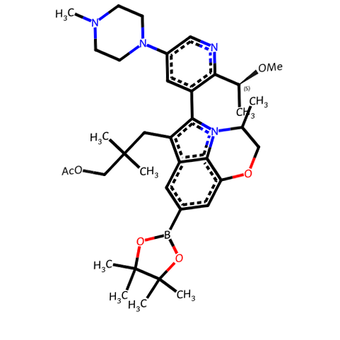 CO[C@@H](C)c1ncc(N2CCN(C)CC2)cc1-c1c(CC(C)(C)COC(C)=O)c2cc(B3OC(C)(C)C(C)(C)O3)cc3c2n1C(C)CO3